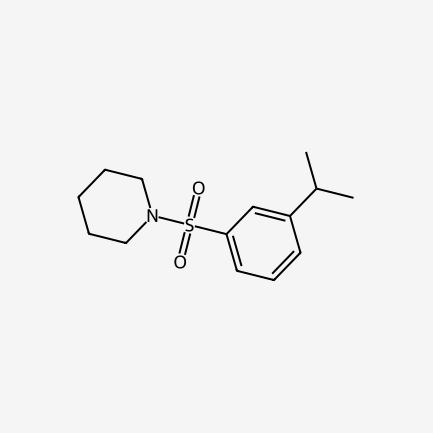 CC(C)c1cccc(S(=O)(=O)N2CCCCC2)c1